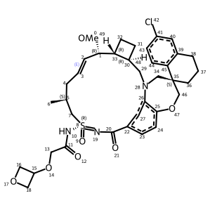 CO[C@H]1/C=C/C[C@H](C)C[S@@](=O)(NC(=O)COC2COC2)=NC(=O)c2ccc3c(c2)N(C[C@@H]2CC[C@H]21)C[C@@]1(CCCc2cc(Cl)ccc21)CO3